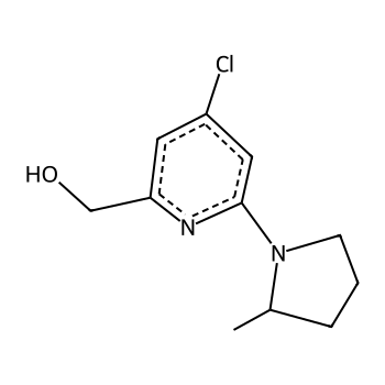 CC1CCCN1c1cc(Cl)cc(CO)n1